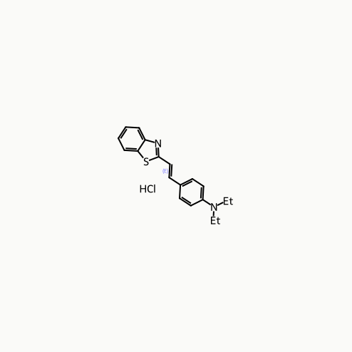 CCN(CC)c1ccc(/C=C/c2nc3ccccc3s2)cc1.Cl